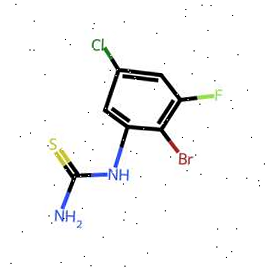 NC(=S)Nc1cc(Cl)cc(F)c1Br